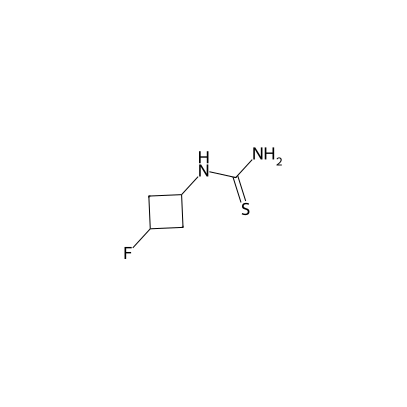 NC(=S)NC1CC(F)C1